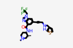 C[C@H]1CN(C)CC[C@@H]1NC(=O)c1cc(C#CCNCc2ccsc2)cc2c1ncn2CC(F)(F)F